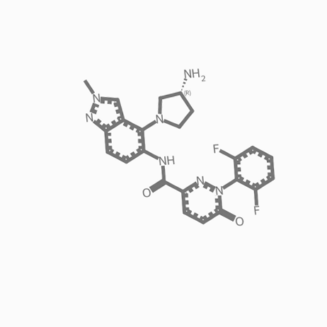 Cn1cc2c(N3CC[C@@H](N)C3)c(NC(=O)c3ccc(=O)n(-c4c(F)cccc4F)n3)ccc2n1